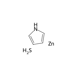 S.[Zn].c1cc[nH]c1